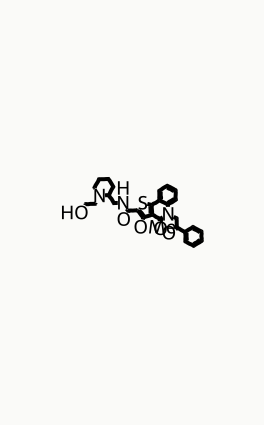 COc1c(C(=O)NCC2CCCCN2CCO)sc2c1c(=O)n(CC(=O)c1ccccc1)c1ccccc21